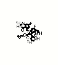 [2H]c1c[nH]c(=O)c(-c2c(C(=O)OCCN(C)C)n(Cc3cc(F)cc4nc([2H])[nH]c(=O)c34)c3cc(F)c4cc([2H])oc4c23)c1